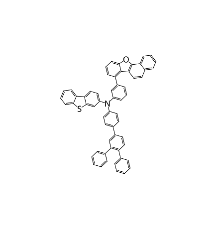 c1ccc(-c2ccc(-c3ccc(N(c4cccc(-c5cccc6oc7c8ccccc8ccc7c56)c4)c4ccc5c(c4)sc4ccccc45)cc3)cc2-c2ccccc2)cc1